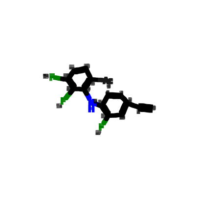 C#Cc1ccc(Nc2c(C(C)=O)ccc(F)c2F)c(F)c1